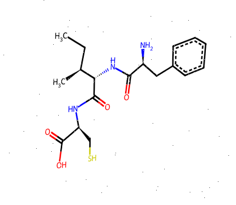 CC[C@H](C)[C@H](NC(=O)[C@@H](N)Cc1ccccc1)C(=O)N[C@@H](CS)C(=O)O